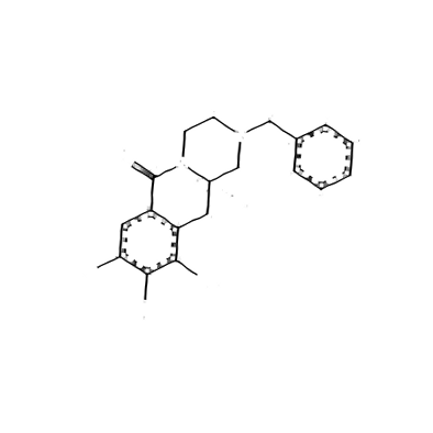 Cc1cc2c(c(C)c1O)C[C@@H]1CN(Cc3ccccc3)CCN1C2=O